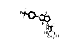 CN[C@@H](CO)C(=O)N[C@H]1CC[C@@H]2CN(c3ccc(C(F)(F)F)cc3)C[C@@H]21